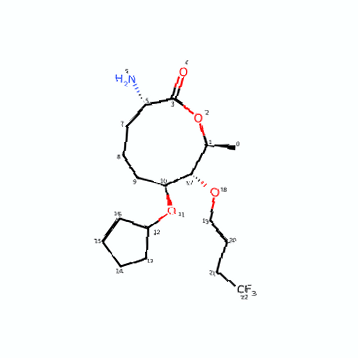 C[C@@H]1OC(=O)[C@@H](N)CCC[C@H](OC2CCCC2)[C@H]1OCCCC(F)(F)F